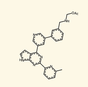 CC(=O)OCNCc1cccc(-c2cncc(-c3nc(-c4cccc(C)n4)nc4[nH]ccc34)c2)c1